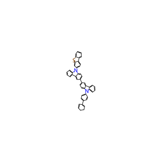 C1=CC(c2ccc(-n3c4ccccc4c4cc(-c5ccc6c(c5)c5ccccc5n6-c5ccc6c(c5)sc5ccccc56)ccc43)cc2)=CCC1